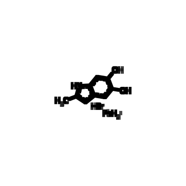 Br.Cc1cc2cc(O)c(O)cc2[nH]1.[PbH2]